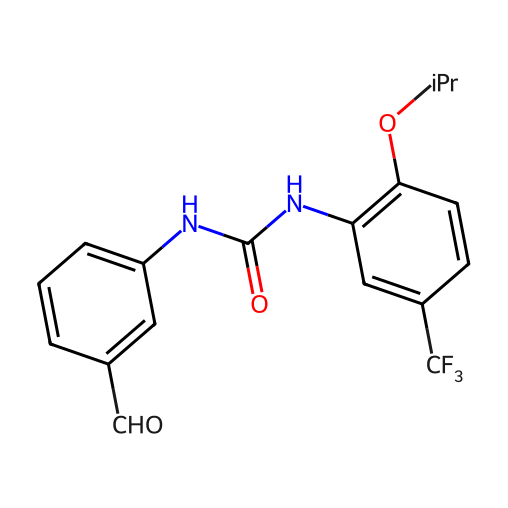 CC(C)Oc1ccc(C(F)(F)F)cc1NC(=O)Nc1cccc(C=O)c1